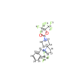 O=C(OC(C(F)(F)F)C(F)(F)F)N1CCC2(CCCN2Cc2ccccc2C(F)(F)F)CC1